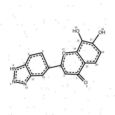 O=c1cc(-c2ccc3[nH]nnc3c2)oc2c(O)c(O)ccc12